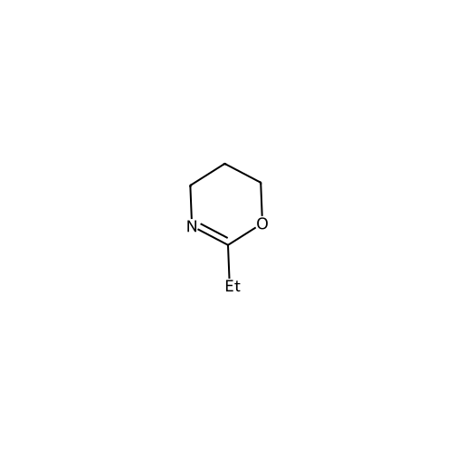 CCC1=NCCCO1